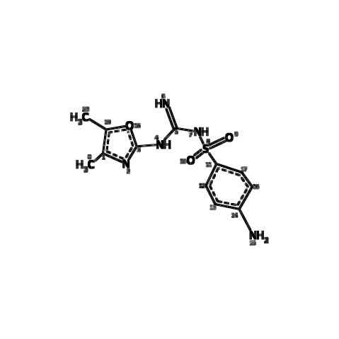 Cc1nc(NC(=N)NS(=O)(=O)c2ccc(N)cc2)oc1C